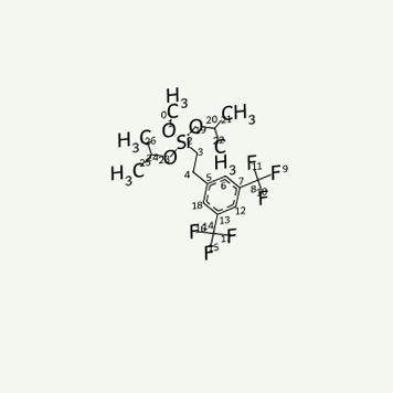 CO[Si](CCc1cc(C(F)(F)F)cc(C(F)(F)F)c1)(OC(C)C)OC(C)C